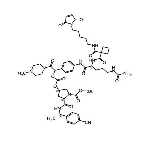 C[C@H](NC(=O)[C@@H]1C[C@@H](OC(=O)OC(C(=O)N2CCN(C)CC2)c2ccc(NC(=O)[C@H](CCCNC(N)=O)NC(=O)C3(C(=O)NCCCCCN4C(=O)C=CC4=O)CCC3)cc2)CN1C(=O)OC(C)(C)C)c1ccc(C#N)cc1